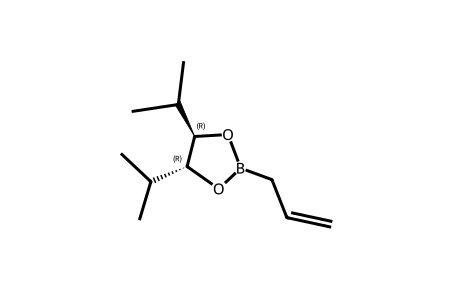 C=CCB1O[C@H](C(C)C)[C@@H](C(C)C)O1